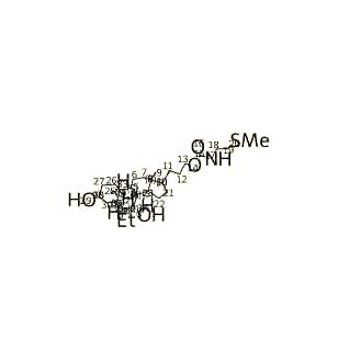 CC[C@H]1[C@@H](O)[C@@H]2[C@H](CC[C@]3(C)[C@@H](CCCOC(=O)NCCSC)CC[C@@H]23)[C@@]2(C)CC[C@@H](O)C[C@@H]12